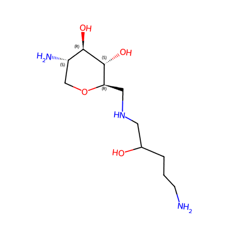 NCCCC(O)CNC[C@H]1OC[C@H](N)[C@@H](O)[C@@H]1O